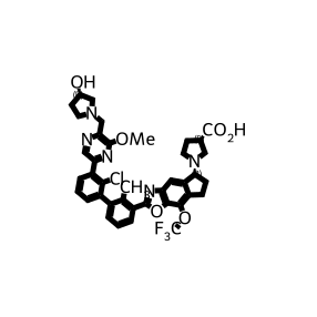 COc1nc(-c2cccc(-c3cccc(-c4nc5cc6c(c(OC(F)(F)F)c5o4)CC[C@H]6N4CC[C@@H](C(=O)O)C4)c3C)c2Cl)cnc1CN1CC[C@@H](O)C1